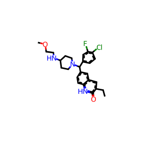 CCc1cc2cc(C(c3ccc(Cl)c(F)c3)N3CCC(NCCOC)CC3)ccc2[nH]c1=O